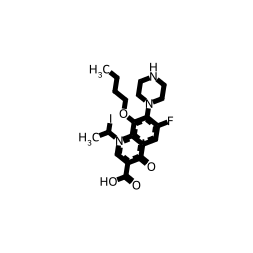 CCCCOc1c(N2CCNCC2)c(F)cc2c(=O)c(C(=O)O)cn(C(C)I)c12